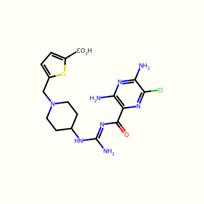 N/C(=N\C(=O)c1nc(Cl)c(N)nc1N)NC1CCN(Cc2ccc(C(=O)O)s2)CC1